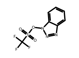 O=S(=O)(On1nnc2ccccc21)C(F)(F)F